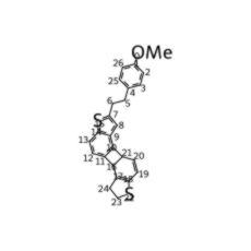 COc1ccc(CCc2cc3c4c(ccc3s2)C2C3=C(C=CC42)SCC3)cc1